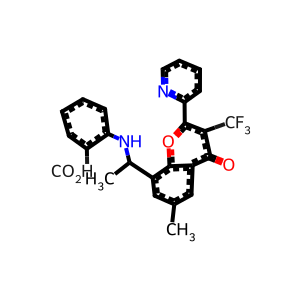 Cc1cc(C(C)Nc2ccccc2C(=O)O)c2oc(-c3ccccn3)c(C(F)(F)F)c(=O)c2c1